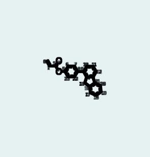 C=CC(=O)Oc1ccc(-c2cccc3c2Cc2ccccc2-3)cc1